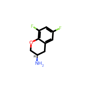 N[C@H]1COc2c(F)cc(F)cc2C1